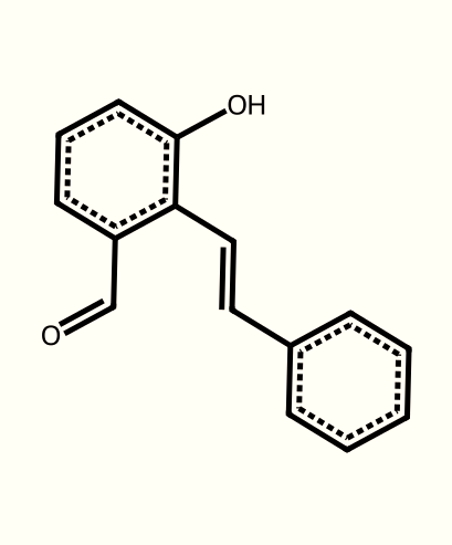 O=Cc1cccc(O)c1C=Cc1ccccc1